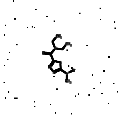 CCN(CC)C(=O)c1nnc([S+](C)[O-])s1